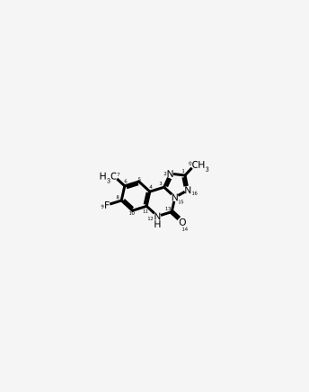 Cc1nc2c3cc(C)c(F)cc3[nH]c(=O)n2n1